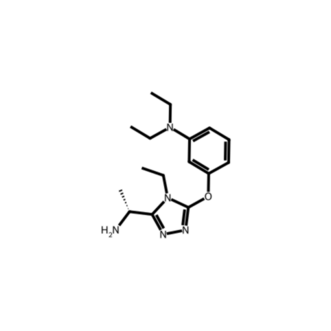 CCN(CC)c1cccc(Oc2nnc([C@@H](C)N)n2CC)c1